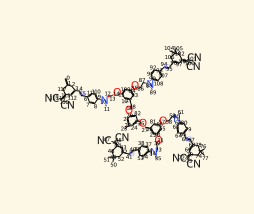 C=C1CC(/C=C/c2ccc(N(C)CCOc3cc(COc4cc(C)cc(OCc5cc(OCCN(C)c6ccc(/C=C/C7=CC(=C(C#N)C#N)CC(C)(C)C7)cc6)cc(OCCN(C)c6ccc(/C=C/C7=CC(=C(C#N)C#N)CC(C)(C)C7)cc6)c5)c4)cc(OCCN(C)c4ccc(/C=C/C5=CC(=C(C#N)C#N)CC(C)(C)C5)cc4)c3)cc2)=CC(=C(C#N)C#N)C1